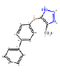 O=C(O)c1nn[nH]c1Sc1ccc(-c2ccccc2)cc1